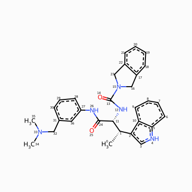 C[C@@H](c1c[nH]c2ccccc12)[C@@H](NC(=O)N1Cc2ccccc2C1)C(=O)Nc1cccc(CN(C)C)c1